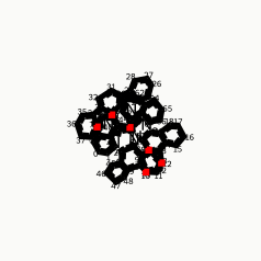 c1ccc2c(-c3nc4c5ccccc5c5ccccc5c4nc3-n3c4ccccc4c4ccc5c6ccccc6n(-c6nc7c8ccccc8c8ccccc8c7nc6-c6cccc7ccccc67)c5c43)cccc2c1